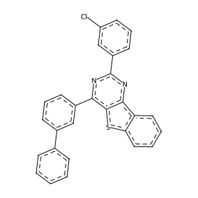 Clc1cccc(-c2nc(-c3cccc(-c4ccccc4)c3)c3sc4ccccc4c3n2)c1